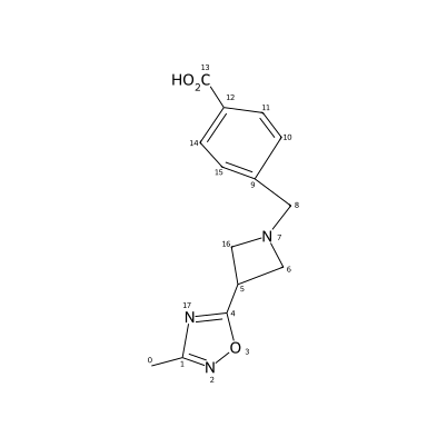 Cc1noc(C2CN(Cc3ccc(C(=O)O)cc3)C2)n1